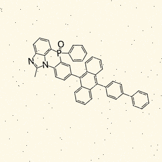 Cc1nc2cccc3c2n1-c1ccc(-c2c4ccccc4c(-c4ccc(-c5ccccc5)cc4)c4ccccc24)cc1P3(=O)c1ccccc1